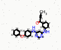 CC#CC(=O)c1cccc(Nc2cc(Nc3ccc(Oc4ccccc4)cc3)ncn2)c1